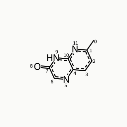 Cc1ccc2ncc(=O)[nH]c2n1